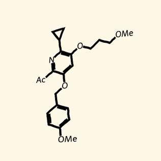 COCCCOc1cc(OCc2ccc(OC)cc2)c(C(C)=O)nc1C1CC1